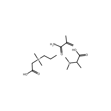 C=C(C)C(N)=O.CC(C(=O)O)N(C)C.CCC[N+](C)(C)CC(=O)O